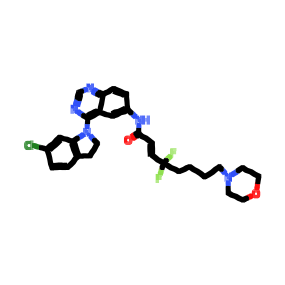 O=C(C=CC(F)(F)CCCCN1CCOCC1)Nc1ccc2ncnc(N3CCc4ccc(Cl)cc43)c2c1